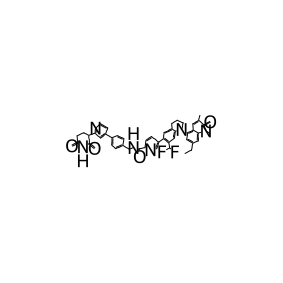 CCc1cc(N2CCCc3cc(-c4ccc(C(=O)NCc5ccc(-c6ccnc(C7CCC(=O)NC7=O)c6)cc5)nc4)c(C(F)F)cc32)c2cc(C)c(=O)n(C)c2c1